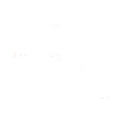 CC(=O)O.CC(=O)[O-].O=P(O)(O)O.[K+]